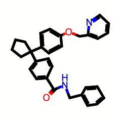 O=C(NCc1ccccc1)c1ccc(C2(c3ccc(OCc4ccccn4)cc3)CCCC2)cc1